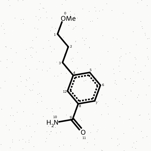 COCCCc1cccc(C(N)=O)c1